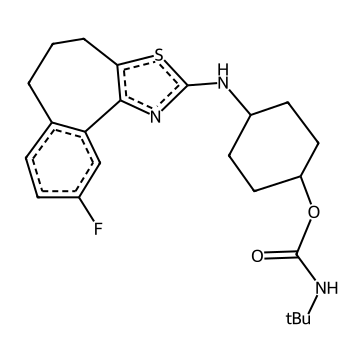 CC(C)(C)NC(=O)OC1CCC(Nc2nc3c(s2)CCCc2ccc(F)cc2-3)CC1